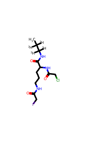 [2H]C([2H])(C)C([2H])([2H])NC(=O)C(CCCNC(=O)CI)NC(=O)CCl